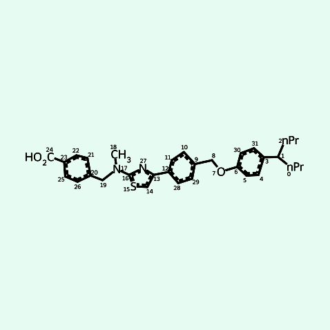 CCCC(CCC)c1ccc(OCc2ccc(-c3csc(N(C)Cc4ccc(C(=O)O)cc4)n3)cc2)cc1